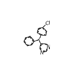 Clc1ccc(C(c2ccccc2)c2cncnc2)cc1